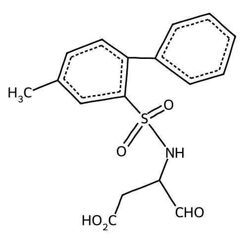 Cc1ccc(-c2ccccc2)c(S(=O)(=O)NC(C=O)CC(=O)O)c1